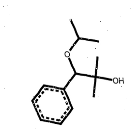 CC(C)OC(c1ccccc1)C(C)(C)O